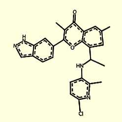 Cc1cc(C(C)Nc2ccc(Cl)nc2C)c2oc(-c3ccc4cn[nH]c4c3)c(C)c(=O)c2c1